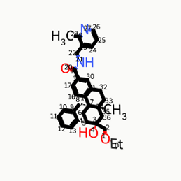 CCOC[C@@]1(O)CC[C@@]2(Cc3ccccc3)c3ccc(C(=O)NCc4cccnc4C)cc3CC[C@]2(C)C1